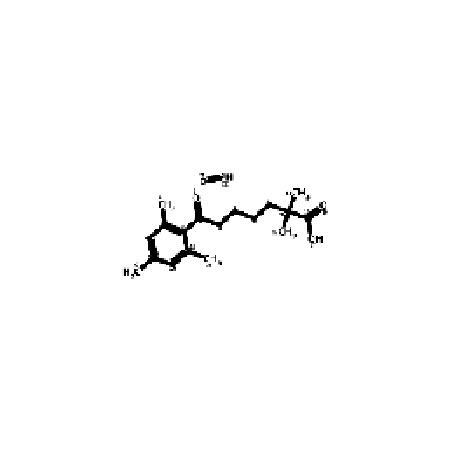 Cc1cc(C)c(C(=O)CCCCC(C)(C)C(=O)O)c(C)c1.O=P